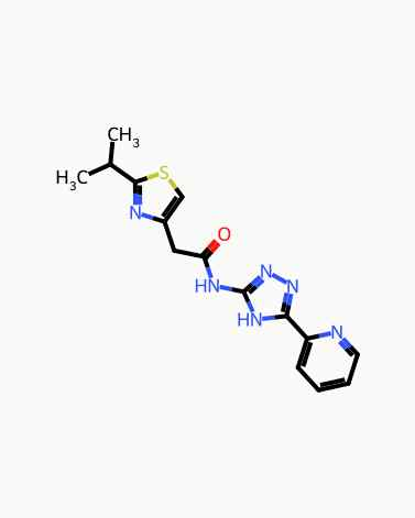 CC(C)c1nc(CC(=O)Nc2nnc(-c3ccccn3)[nH]2)cs1